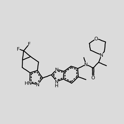 Cc1cc2[nH]c(-c3n[nH]c4c3CC3C(C4)C3(F)F)nc2cc1N(C)C(=O)C(C)N1CCOCC1